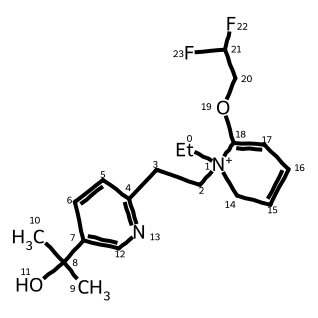 CC[N+]1(CCc2ccc(C(C)(C)O)cn2)CC=CC=C1OCC(F)F